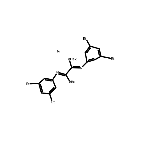 CCCCCCC(=N\c1cc(CC)cc(CC)c1)/C(CCCC)=N/c1cc(CC)cc(CC)c1.[Ni]